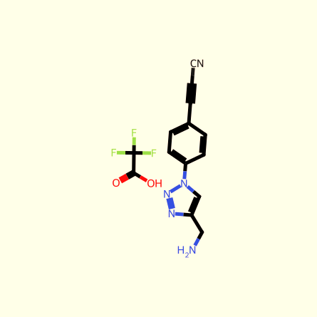 N#CC#Cc1ccc(-n2cc(CN)nn2)cc1.O=C(O)C(F)(F)F